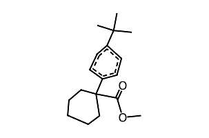 COC(=O)C1(c2ccc(C(C)(C)C)cc2)CCCCC1